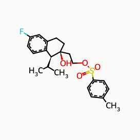 Cc1ccc(S(=O)(=O)OCC[C@@]2(O)CCc3cc(F)ccc3[C@@H]2C(C)C)cc1